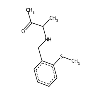 CSc1ccccc1CNC(C)C(C)=O